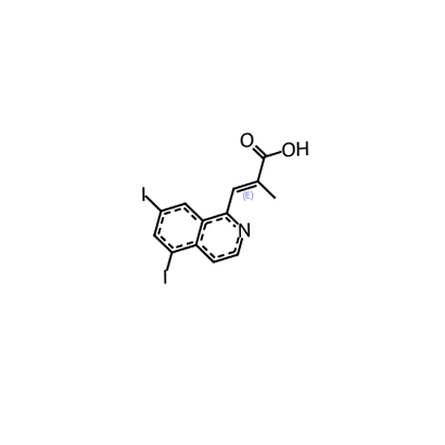 C/C(=C\c1nccc2c(I)cc(I)cc12)C(=O)O